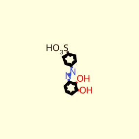 O=S(=O)(O)c1ccc(N=Nc2cccc(O)c2O)cc1